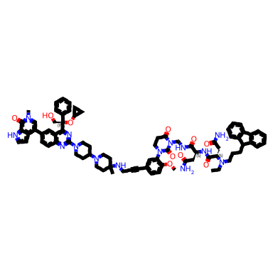 CCN(CCCC1c2ccccc2-c2ccccc21)[C@@H](CC(N)=O)C(=O)N[C@@H](CC(N)=O)C(=O)NCN1C(=O)CCN(c2cc(C#CCNC3(C)CCN(C4CCN(c5nc([C@@](CO)(OC6CC6)c6ccccc6)c6cc(-c7cn(C)c(=O)c8[nH]ccc78)ccc6n5)CC4)CC3)ccc2OC)C1=O